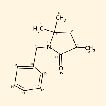 CC1CC(C)(C)N(Cc2ccccc2)C1=O